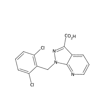 O=C(O)c1nn(Cc2c(Cl)cccc2Cl)c2ncccc12